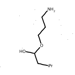 CC(C)CC(O)OCCCN